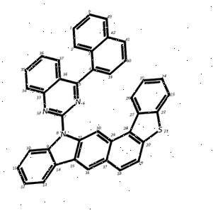 c1ccc2c(-c3nc(-n4c5ccccc5c5cc6ccc7sc8ccccc8c7c6cc54)nc4ccccc34)cccc2c1